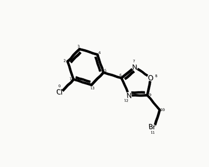 Clc1cccc(-c2noc(CBr)n2)c1